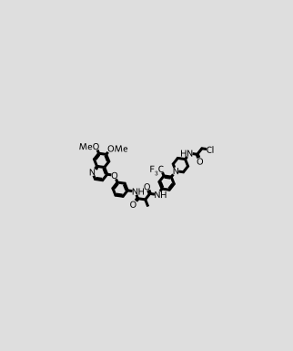 COc1cc2nccc(Oc3cccc(NC(=O)C(C)C(=O)Nc4ccc(N5CCC(NC(=O)CCl)CC5)c(C(F)(F)F)c4)c3)c2cc1OC